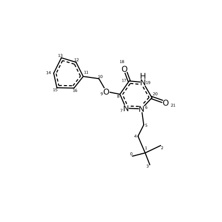 CC(C)(C)CCn1nc(OCc2ccccc2)c(=O)[nH]c1=O